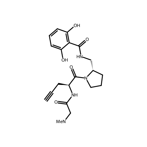 C#CC[C@H](NC(=O)CNC)C(=O)N1CCC[C@H]1CNC(=O)c1c(O)cccc1O